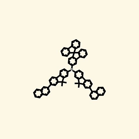 CC1(C)c2cc(-c3ccc4ccccc4c3)ccc2-c2ccc(N(c3ccc4c(c3)-c3ccccc3C43c4ccccc4-c4ccccc43)c3ccc4c(c3)C(C)(C)c3cc(-c5cccc6ccccc56)ccc3-4)cc21